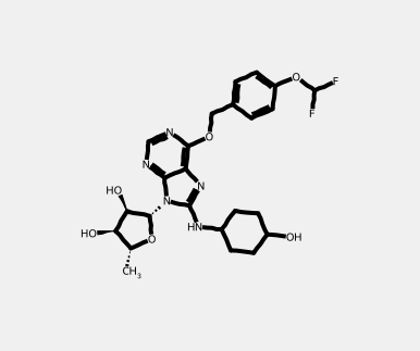 C[C@H]1O[C@@H](n2c(NC3CCC(O)CC3)nc3c(OCc4ccc(OC(F)F)cc4)ncnc32)[C@H](O)[C@@H]1O